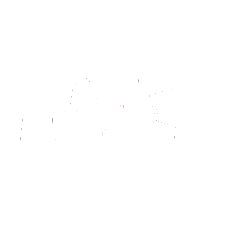 Cc1cc(C(C)C)c(NC(=O)NS(=O)(=O)/C(C=N)=C2/NCCCO2)c(C(C)C)n1